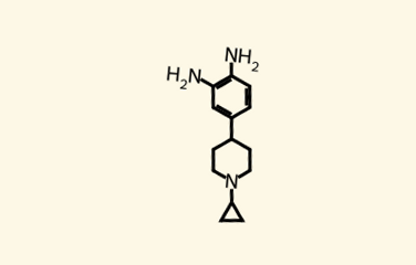 Nc1ccc(C2CCN(C3CC3)CC2)cc1N